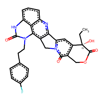 CC[C@@]1(O)C(=O)OCc2c1cc1n(c2=O)Cc2c-1nc1cccc3c1c2N(CCc1ccc(F)cc1)C(=O)N3